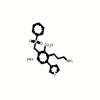 Cl.NCCCc1c(-c2ccoc2)ccc(CS(=O)(=O)c2ccccc2)c1C(=O)O